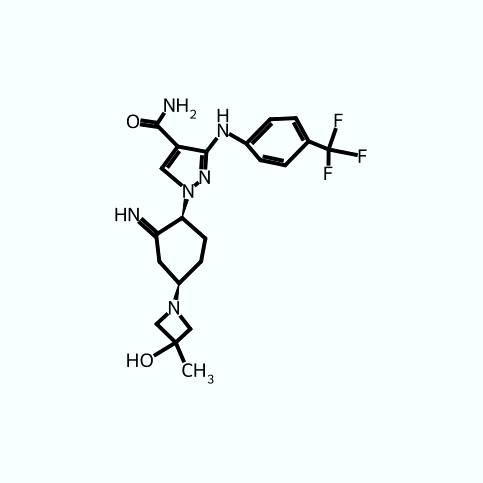 CC1(O)CN([C@@H]2CC[C@H](n3cc(C(N)=O)c(Nc4ccc(C(F)(F)F)cc4)n3)C(=N)C2)C1